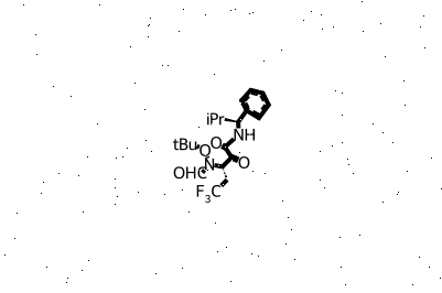 CC(C)[C@H](NC(=O)C(=O)[C@H](CC(F)(F)F)N(C=O)OC(C)(C)C)c1ccccc1